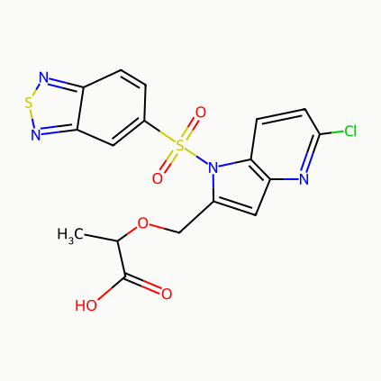 CC(OCc1cc2nc(Cl)ccc2n1S(=O)(=O)c1ccc2nsnc2c1)C(=O)O